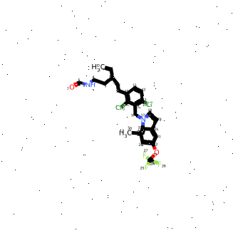 CCC(CCNC=O)CCc1ccc(Cl)c(Cn2ccc3cc(OC(F)(F)F)cc(C)c32)c1Cl